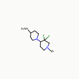 CC(=O)NC1CCN(C2CCN(C(C)C)CC2(F)F)CC1